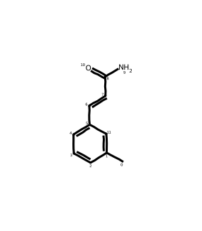 Cc1cccc(C=CC(N)=O)c1